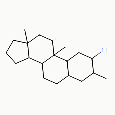 CC1CC2CCC3C4CCCC4(C)CCC3(C)C2CC1N